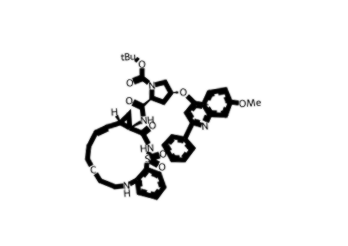 COc1ccc2c(O[C@@H]3C[C@@H](C(=O)N[C@]45C[C@H]4/C=C\CCCCCNc4ccccc4S(=O)(=O)NC5=O)N(C(=O)OC(C)(C)C)C3)cc(-c3ccccc3)nc2c1